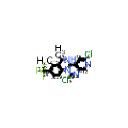 Cc1c([C@@H](C)Nc2nc(Cl)nc3cnc(Cl)cc23)cccc1C(F)(F)F